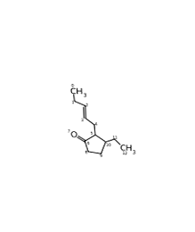 CCC=CCC1C(=O)CCC1CC